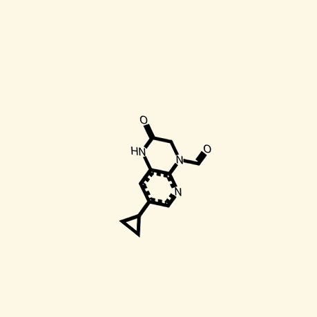 O=CN1CC(=O)Nc2cc(C3CC3)cnc21